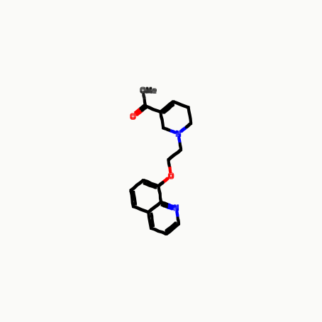 COC(=O)C1=CCCN(CCOc2cccc3cccnc23)C1